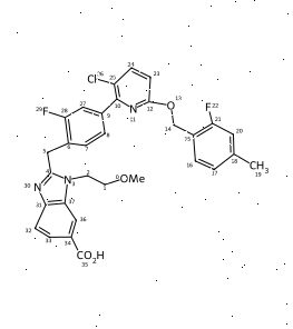 COCCn1c(Cc2ccc(-c3nc(OCc4ccc(C)cc4F)ccc3Cl)cc2F)nc2ccc(C(=O)O)cc21